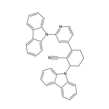 N#CC1=C(c2ccnc(-n3c4ccccc4c4ccccc43)c2)CCCC1n1c2ccccc2c2ccccc21